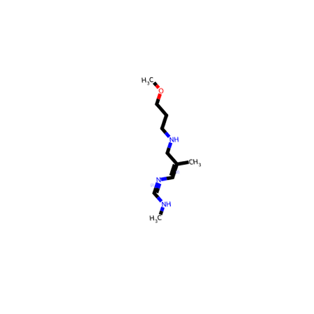 CN/C=N\C=C(\C)CNCCCOC